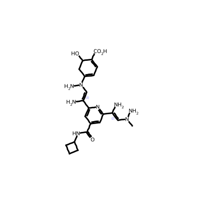 CN(N)/C=C(\N)c1cc(C(=O)NC2CCC2)cc(/C(N)=C/N(N)C2=CC=C(C(=O)O)C(O)C2)n1